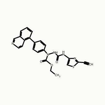 C#Cc1nc(NC(=O)NN(C(=O)OCC)c2ccc(-c3cccc4cnccc34)cc2)cs1